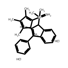 CC1=C(C)C(C)[C]([Zr]([CH3])([CH3])(=[SiH2])[CH]2C(C)=C(c3ccccc3)c3ccccc32)=C1C.Cl.Cl